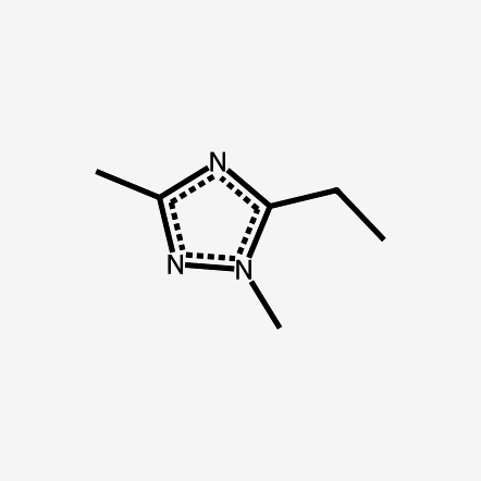 CCc1nc(C)nn1C